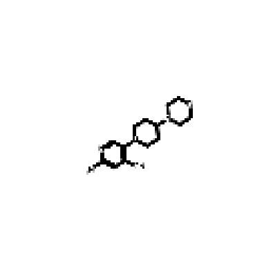 N#Cc1cc(N)ncc1N1CCC(N2CCOCC2)CC1